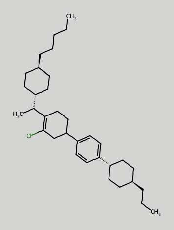 CCCCC[C@H]1CC[C@H](C(C)C2=C(Cl)CC(c3ccc([C@H]4CC[C@H](CCC)CC4)cc3)CC2)CC1